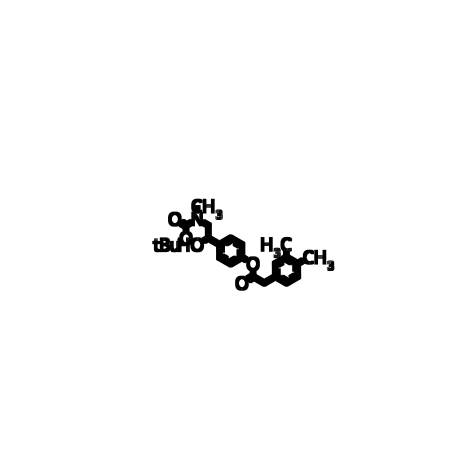 Cc1ccc(CC(=O)Oc2ccc(C(O)CN(C)C(=O)OC(C)(C)C)cc2)cc1C